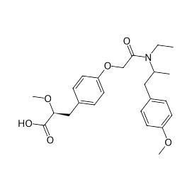 CCN(C(=O)COc1ccc(C[C@H](OC)C(=O)O)cc1)C(C)Cc1ccc(OC)cc1